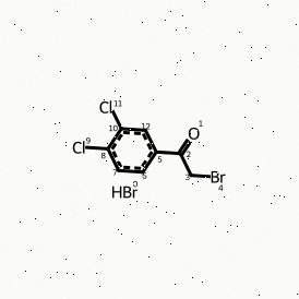 Br.O=C(CBr)c1ccc(Cl)c(Cl)c1